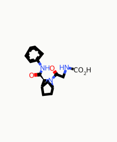 O=C(O)NCC(=O)N1C2CCC(C2)[C@H]1C(=O)Nc1ccccc1